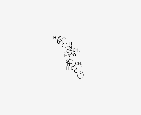 CC(C)(N[C@@H]1CCN(S(C)(=O)=O)C1)C(=O)Nc1cc(C(C)(C)COC2CCCCO2)no1